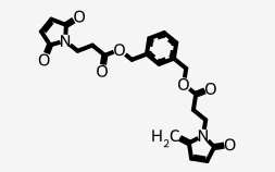 C=C1C=CC(=O)N1CCC(=O)OCc1cccc(COC(=O)CCN2C(=O)C=CC2=O)c1